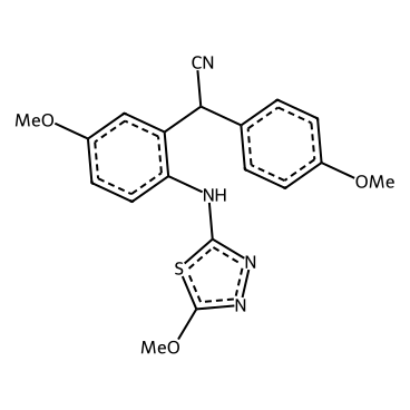 COc1ccc(C(C#N)c2cc(OC)ccc2Nc2nnc(OC)s2)cc1